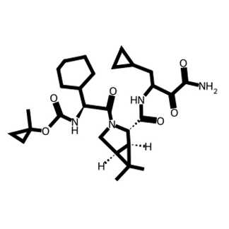 CC1(OC(=O)N[C@H](C(=O)N2C[C@H]3[C@@H]([C@H]2C(=O)NC(CC2CC2)C(=O)C(N)=O)C3(C)C)C2CCCCC2)CC1